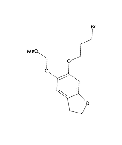 COCOc1cc2c(cc1OCCCBr)OCC2